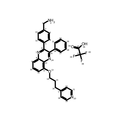 NCc1ccc(-c2nc3cccc(OCCCc4ccncc4)c3nc2-c2ccccc2)cc1.O=C(O)C(F)(F)F